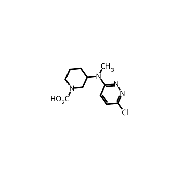 CN(c1ccc(Cl)nn1)C1CCCN(C(=O)O)C1